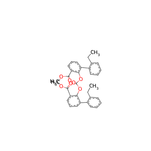 CCc1ccccc1-c1cccc(C(=O)OC)c1OC(=O)Oc1c(C(=O)OC)cccc1-c1ccccc1CC